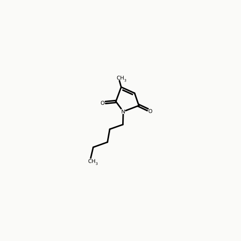 CCCCCN1C(=O)C=C(C)C1=O